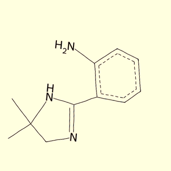 CC1(C)CN=C(c2ccccc2N)N1